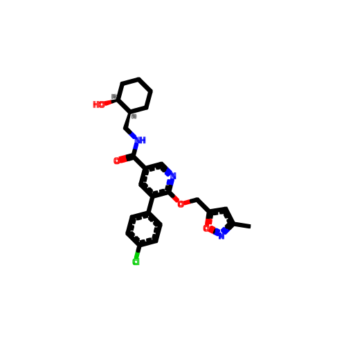 Cc1cc(COc2ncc(C(=O)NC[C@@H]3CCCC[C@@H]3O)cc2-c2ccc(Cl)cc2)on1